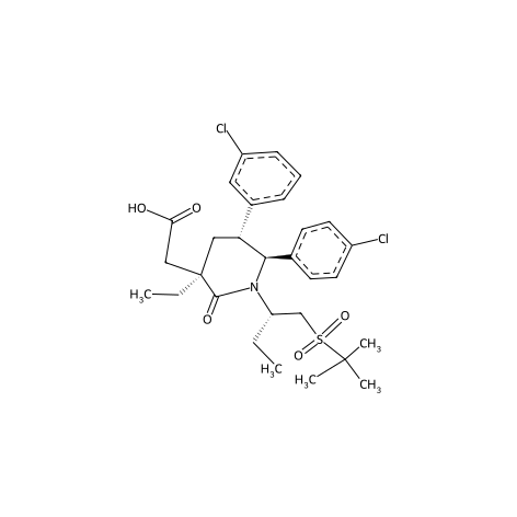 CC[C@@H](CS(=O)(=O)C(C)(C)C)N1C(=O)[C@@](CC)(CC(=O)O)C[C@H](c2cccc(Cl)c2)[C@H]1c1ccc(Cl)cc1